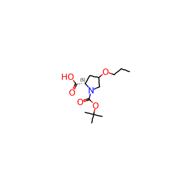 CCCOC1C[C@@H](C(=O)O)N(C(=O)OC(C)(C)C)C1